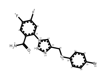 NC(=O)c1cc(F)c(F)cc1-n1cc(COc2ccc(Br)cc2)nn1